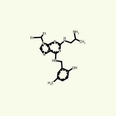 CCC(CC)n1cnc2c(NCc3cc(C)ccc3O)nc(NCC(C)N)nc21